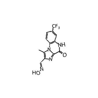 Cc1c(C=NO)nc2c(=O)[nH]c3cc(C(F)(F)F)ccc3n12